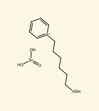 CCCCCCCCCCCCCCCC[n+]1ccccc1.[O]=[Sn]([OH])[OH]